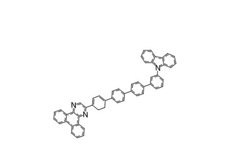 C1=C(c2ccc(-c3ccc(-c4cccc(-n5c6ccccc6c6ccccc65)c4)cc3)cc2)CCC(c2cnc3c4ccccc4c4ccccc4c3n2)=C1